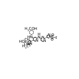 Cn1nc(-c2cnc(Nc3ccnc(-c4cnn(S(=O)(=O)C5CC5)c4)n3)cc2NC2CCC(C)(O)CC2)cc1C(C)(C)O